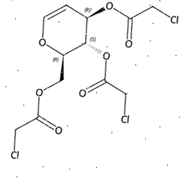 O=C(CCl)OC[C@H]1OC=C[C@@H](OC(=O)CCl)[C@@H]1OC(=O)CCl